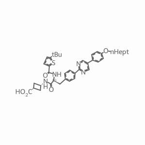 CCCCCCCOc1ccc(-c2cnc(-c3ccc(C[C@H](NC(=O)c4ccc(C(C)(C)C)s4)C(=O)N[C@H]4C[C@@H](C(=O)O)C4)cc3)nc2)cc1